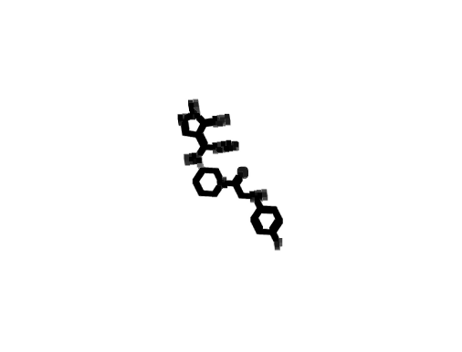 CN/C(N[C@H]1CCCN(C(=O)CNc2ccc(F)cc2)C1)=C1/C=NNC1=N